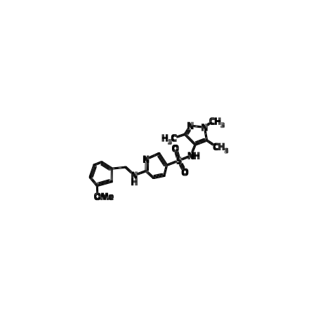 COc1cccc(CNc2ccc(S(=O)(=O)Nc3c(C)nn(C)c3C)cn2)c1